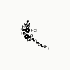 CCN(C)S(=O)(=O)Nc1cccc(Nc2ccc3ncn(CCOCCOCCN)c(=O)c3c2)c1C#N.Cl